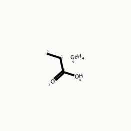 [CH2]CC(=O)O.[GeH4]